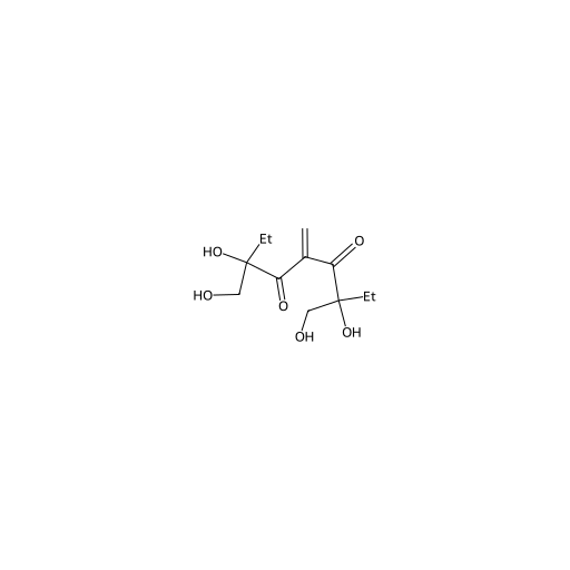 C=C(C(=O)C(O)(CC)CO)C(=O)C(O)(CC)CO